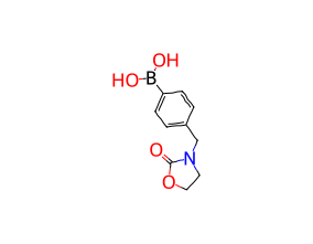 O=C1OCCN1Cc1ccc(B(O)O)cc1